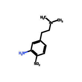 C[As](C)CCc1ccc([N+](=O)[O-])c(N)c1